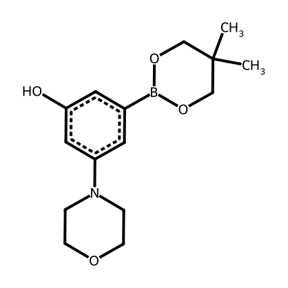 CC1(C)COB(c2cc(O)cc(N3CCOCC3)c2)OC1